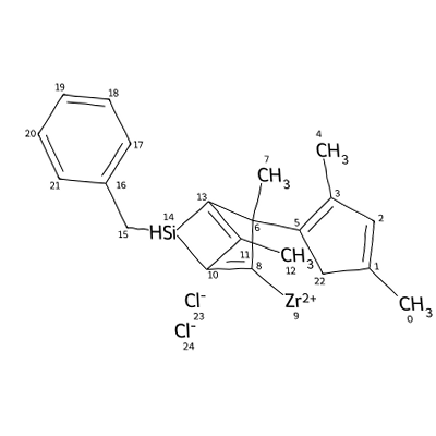 CC1=CC(C)=C(C2(C)[C]([Zr+2])=C3C(C)=C2[SiH]3Cc2ccccc2)C1.[Cl-].[Cl-]